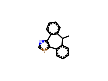 CC1c2ccccc2-c2ncsc2-c2ccccc21